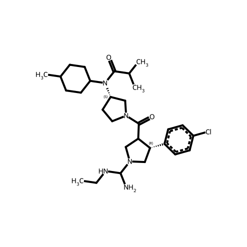 CCNC(N)N1CC(C(=O)N2CC[C@H](N(C(=O)C(C)C)C3CCC(C)CC3)C2)[C@H](c2ccc(Cl)cc2)C1